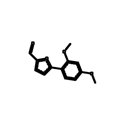 COc1ccc(-c2ccc(C=O)o2)c(OC)c1